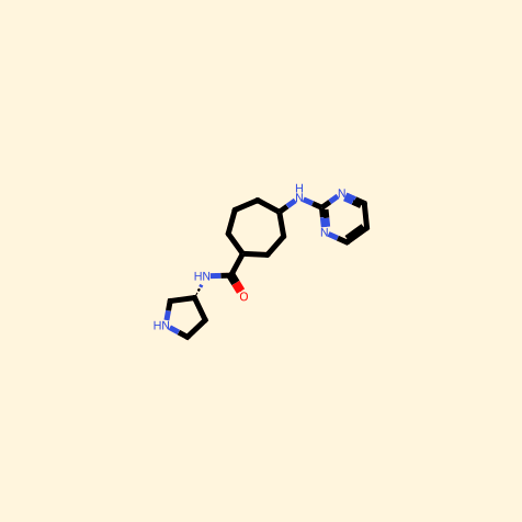 O=C(N[C@@H]1CCNC1)C1CCCC(Nc2ncccn2)CC1